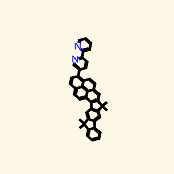 CC1(C)c2ccccc2-c2cc3c(cc21)-c1c(cc2ccc4c(-c5ccc(-c6ccccn6)nc5)ccc5ccc1c2c54)C3(C)C